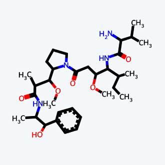 CCC(C)C(NC(=O)C(N)C(C)C)C(CC(=O)N1CCCC1C(OC)C(C)C(=O)NC(C)C(O)c1ccccc1)OC